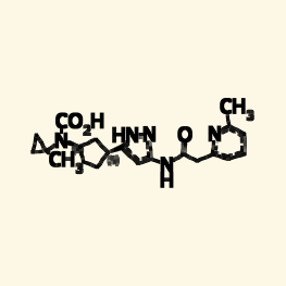 Cc1cccc(CC(=O)Nc2cc([C@H]3CC[C@@H](N(C(=O)O)C4(C)CC4)C3)[nH]n2)n1